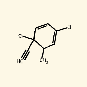 C#CC1(Cl)C=CC(Cl)=CC1[CH2]